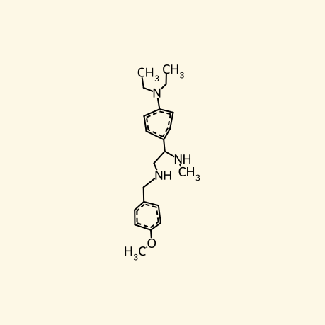 CCN(CC)c1ccc(C(CNCc2ccc(OC)cc2)NC)cc1